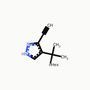 C#Cc1n[nH]cc1C(C)(C)CCCCCC